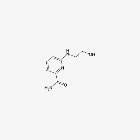 NC(=O)c1[c]ccc(NCCO)n1